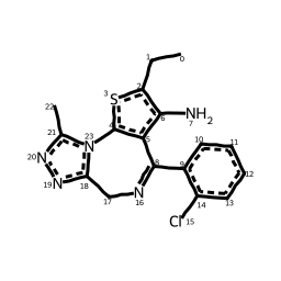 CCc1sc2c(c1N)C(c1ccccc1Cl)=NCc1nnc(C)n1-2